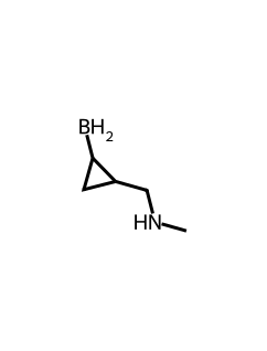 BC1CC1CNC